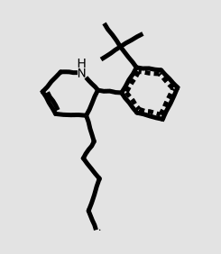 [CH2]CCCCC1C=CCNC1c1ccccc1C(C)(C)C